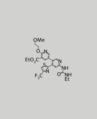 CCNC(=O)Nc1cc(-c2nc(C(F)(F)F)cs2)c(-c2cnc(OCCOC)c(C(=O)OCC)c2)cn1